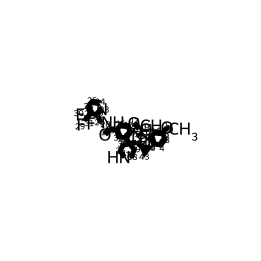 COc1cccc(S(=O)(=O)[N+]2(C(C)=O)c3ccc(C(=O)NCc4ncccc4C(F)(F)F)cc3C3(CCNCC3)C2C2CC2)c1